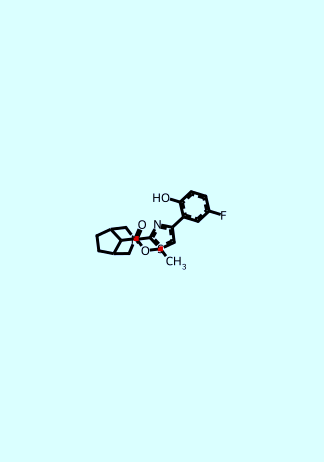 CCOC(=O)C1C2CCC1CN(c1nc(-c3cc(F)ccc3O)cs1)C2